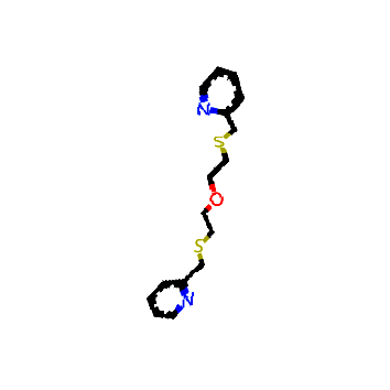 c1ccc(CSCCOCCSCc2ccccn2)nc1